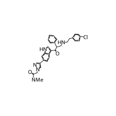 CNC(=O)Cn1cc(-c2ccc3c(C(=O)C(CNCCc4ccc(Cl)cc4)c4ccccc4)c[nH]c3c2)cn1